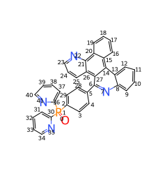 O=P(c1ccc(-c2nc3ccccc3c3c4ccccc4c4ncccc4c23)cc1)(c1ccccn1)c1ccccn1